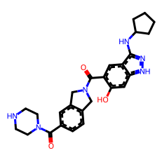 O=C(c1ccc2c(c1)CN(C(=O)c1cc3c(NC4CCCC4)n[nH]c3cc1O)C2)N1CCNCC1